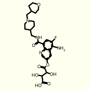 Nc1c(F)cc(C(=O)NCC2CCN(CC3CCOCC3)CC2)c2ncc(OC(=O)C(O)C(O)C(=O)O)cc12